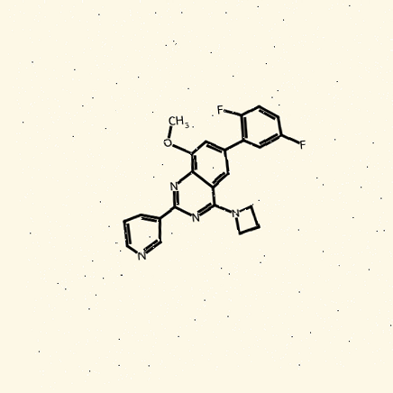 COc1cc(-c2cc(F)ccc2F)cc2c(N3CCC3)nc(-c3cccnc3)nc12